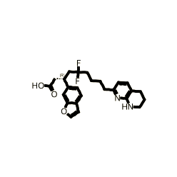 O=C(O)C[C@H](CC(F)(F)CCCCc1ccc2c(n1)NCCC2)c1ccc2ccoc2c1